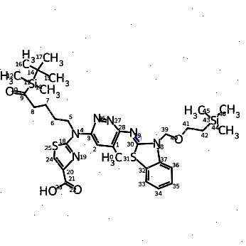 Cc1cc(N(CCCCC(=O)[Si](C)(C)C(C)(C)C)c2nc(C(=O)O)cs2)nnc1/N=c1\sc2ccccc2n1COCC[Si](C)(C)C